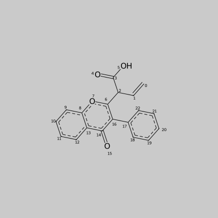 C=CC(C(=O)O)c1oc2ccccc2c(=O)c1-c1ccccc1